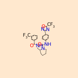 O=C(NCC1CCCCN1C(=O)Nc1ccc(-c2noc(C(F)(F)F)n2)cc1)c1cccc(C(F)(F)F)c1